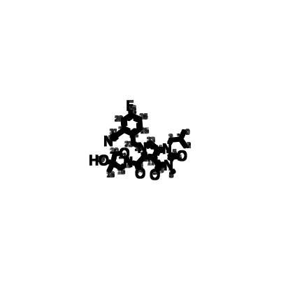 CC(C)Cn1c(=O)n(C)c(=O)c2c(C(=O)N3CC(C)(O)CO3)n(Cc3ccc(F)cc3C#N)cc21